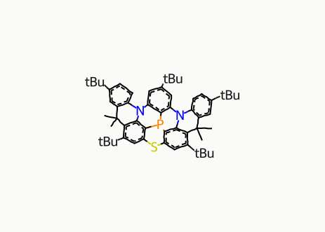 CC(C)(C)c1cc2c3c(c1)N1c4ccc(C(C)(C)C)cc4C(C)(C)c4c(C(C)(C)C)cc5c(c41)P3c1c(cc(C(C)(C)C)c3c1N2c1ccc(C(C)(C)C)cc1C3(C)C)S5